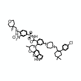 CC1CN(c2cc(N3CCN(CC4=C(c5ccc(Cl)cc5)CC(C)(C)CC4)CC3)ccc2C(=O)NS(=O)(=O)c2ccc(NCC3(F)CCOCC3)c([N+](=O)[O-])c2)c2cc3cc[nH]c3nc2O1